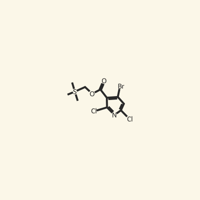 CS(C)(C)COC(=O)c1c(Br)cc(Cl)nc1Cl